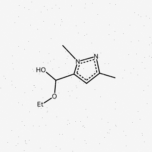 CCOC(O)c1cc(C)nn1C